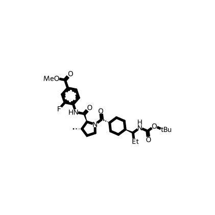 CCC(NC(=O)OC(C)(C)C)[C@H]1CC[C@H](C(=O)N2CC[C@H](C)[C@H]2C(=O)Nc2ccc(C(=O)OC)cc2F)CC1